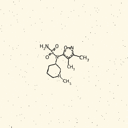 Cc1noc(N(C2CCCN(C)C2)S(N)(=O)=O)c1C